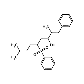 CC(C)CCC(CC(O)C(N)Cc1ccccc1)S(=O)(=O)c1ccccc1